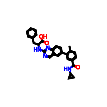 Cc1ccc(C(=O)NC2CC2)cc1-c1ccc2nc(NC(Cc3ccccc3)C(=O)O)ncc2c1